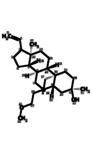 C=CC1CC[C@H]2[C@@H]3CC[C@H]4C[C@](C)(O)CC[C@]4(COCCOC)[C@H]3CC[C@]12C